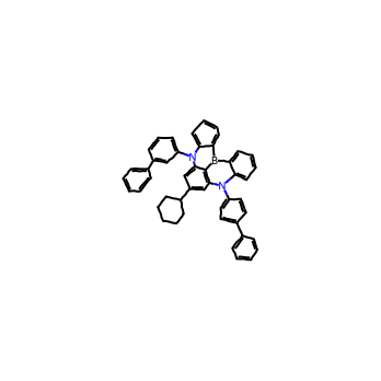 c1ccc(-c2ccc(N3c4ccccc4B4c5ccccc5N(c5cccc(-c6ccccc6)c5)c5cc(C6CCCCC6)cc3c54)cc2)cc1